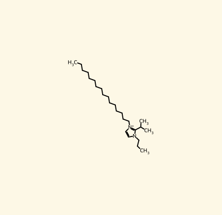 CCCCCCCCCCCCCCCC[n+]1ccn(CCC)c1C(C)C